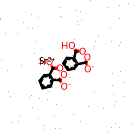 O=C([O-])c1ccccc1C(=O)O.O=C([O-])c1ccccc1C(=O)O.[Sr+2]